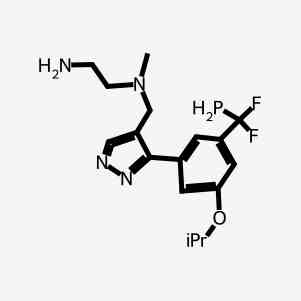 CC(C)Oc1cc(C2=NN=C=C2CN(C)CCN)cc(C(F)(F)P)c1